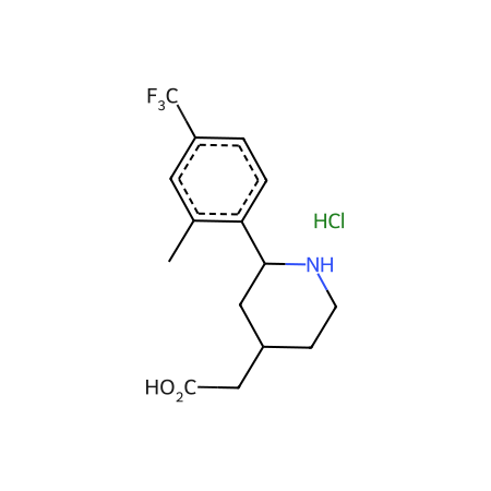 Cc1cc(C(F)(F)F)ccc1C1CC(CC(=O)O)CCN1.Cl